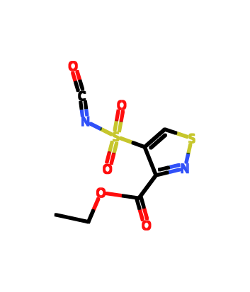 CCOC(=O)c1nscc1S(=O)(=O)N=C=O